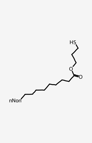 CCCCCCCCCCCCCCCCCC(=O)OCCCS